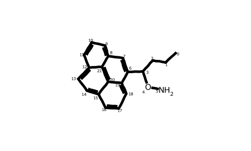 CCCC(ON)c1cc2cccc3ccc4cccc1c4c32